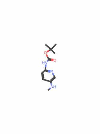 CNc1ccc(NC(=O)OC(C)(C)C)nc1